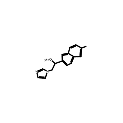 COC(Cn1ccnc1)c1ccc2cc(C)ccc2c1